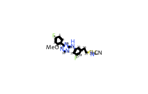 COc1cc(F)ccc1-c1ncnc(Nc2cc(F)cc(CC/[SH]=N/C#N)c2)n1